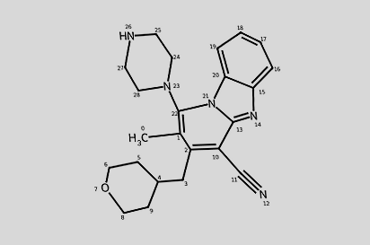 Cc1c(CC2CCOCC2)c(C#N)c2nc3ccccc3n2c1N1CCNCC1